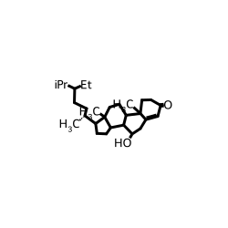 CCC(CC[C@@H](C)C1CCC2C3C(O)CC4=CC(=O)CCC4(C)C3CCC21C)C(C)C